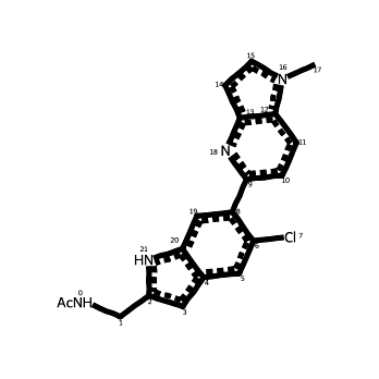 CC(=O)NCc1cc2cc(Cl)c(-c3ccc4c(ccn4C)n3)cc2[nH]1